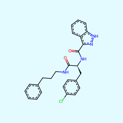 O=C(N[C@@H](Cc1ccc(Cl)cc1)C(=O)NCCCc1ccccc1)c1n[nH]c2ccccc12